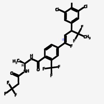 C[C@H](NC(=O)CC(F)(F)F)NC(=O)c1ccc(/C(F)=C/C(c2cc(Cl)c(Cl)c(Cl)c2)C(C)(F)F)cc1C(F)(F)F